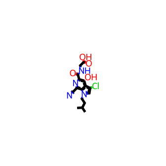 CC(C)CCn1cc(Cl)c2c(O)c(C(=O)NCC(=O)O)nc(C#N)c21